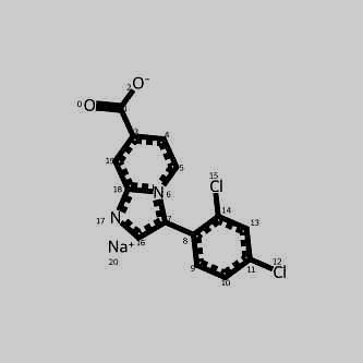 O=C([O-])c1ccn2c(-c3ccc(Cl)cc3Cl)cnc2c1.[Na+]